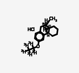 Cl.[2H]C([2H])([2H])C([2H])([2H])Oc1ccc2c(c1)[C@@]13CCCC[C@H]1[C@@H](C2)N(C)CC3